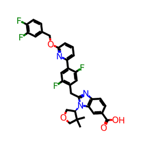 CC1(C)COC[C@H]1n1c(Cc2cc(F)c(-c3cccc(OCc4ccc(F)c(F)c4)n3)cc2F)nc2ccc(C(=O)O)cc21